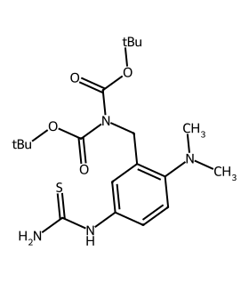 CN(C)c1ccc(NC(N)=S)cc1CN(C(=O)OC(C)(C)C)C(=O)OC(C)(C)C